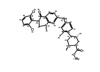 C[C@@H]1CN(C(=O)OC(C)(C)C)[C@@H](C)CN1c1ccc(Nc2ncc3c(n2)N(C)CN(c2c(Cl)cccc2Cl)C3=O)cc1F